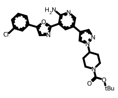 CC(C)(C)OC(=O)N1CCC(n2cc(-c3cnc(N)c(-c4ncc(-c5cccc(Cl)c5)o4)c3)cn2)CC1